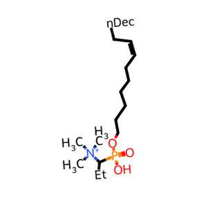 CCCCCCCCCCC/C=C\CCCCCCOP(=O)(O)C(CC)[N+](C)(C)C